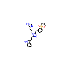 CS(=O)(=O)c1cccc(Cc2nnc(CCc3c[nH]c4ccccc34)n2CCCc2c[nH]cn2)c1